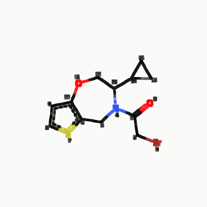 O=C(CBr)N1Cc2sccc2OCC1C1CC1